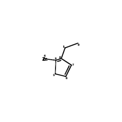 CCC1=[C]([Zn])CC=C1